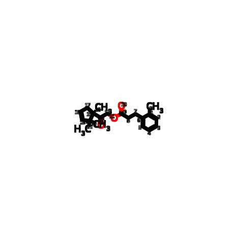 Cc1ccccc1CCC(=O)OCC(=O)[C@]1(C)CC=CC1(C)C